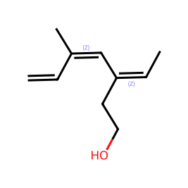 C=C/C(C)=C\C(=C/C)CCO